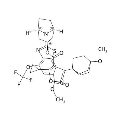 COC(=O)c1cc(OC(F)(F)F)c2nc(N3[C@@H]4CC[C@H]3C[C@@H](OC(=O)c3c(C56CCC(OC)(CC5)CC6)noc3C3CC3)C4)sc2c1